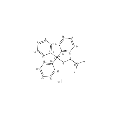 CN(C)CC[P+](c1ccccc1)(c1ccccc1)c1ccccc1.[I-]